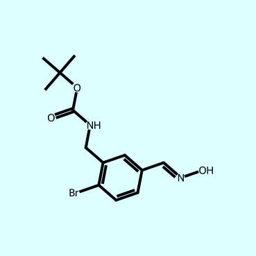 CC(C)(C)OC(=O)NCc1cc(C=NO)ccc1Br